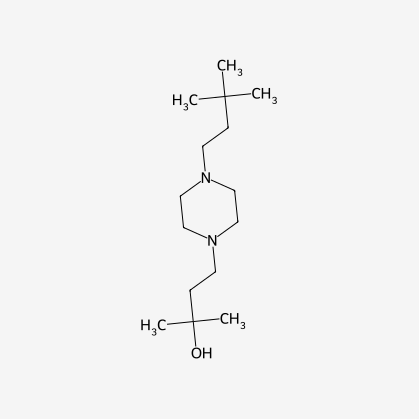 CC(C)(C)CCN1CCN(CCC(C)(C)O)CC1